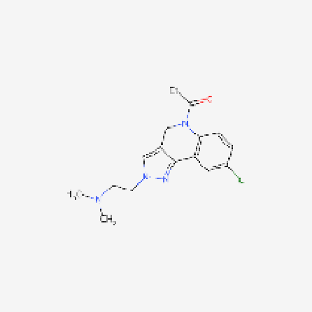 CCC(=O)N1Cc2cn(CCN(C)C)nc2-c2cc(Cl)ccc21